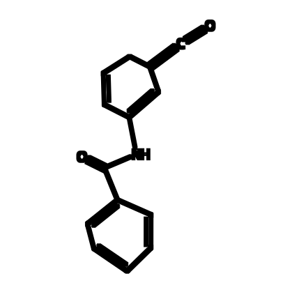 O=C=C1C=C(NC(=O)c2ccccc2)C=CC1